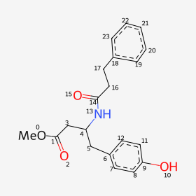 COC(=O)CC(Cc1ccc(O)cc1)NC(=O)CCc1ccccc1